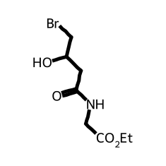 CCOC(=O)CNC(=O)CC(O)CBr